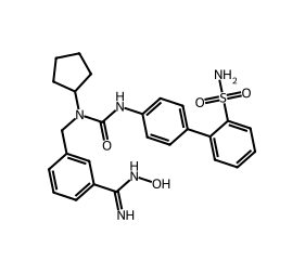 N=C(NO)c1cccc(CN(C(=O)Nc2ccc(-c3ccccc3S(N)(=O)=O)cc2)C2CCCC2)c1